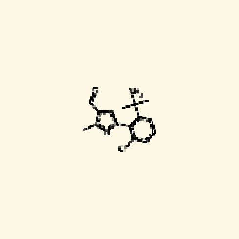 Cc1nn(-c2c(Cl)cccc2C(C)(C)N)cc1C=O